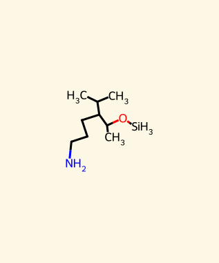 CC(C)C(CCCN)C(C)O[SiH3]